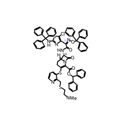 CNCCSCc1ncccc1SC1=C(C(=O)OC(c2ccccc2)c2ccccc2)N2C(=O)[C@@H](NC(=O)/C(=N\OC(c3ccccc3)(c3ccccc3)c3ccccc3)c3nc(NC(c4ccccc4)(c4ccccc4)c4ccccc4)sc3Cl)[C@H]2CC1